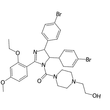 CCOc1cc(OC)ccc1C1=NC(c2ccc(Br)cc2)C(C2C=CC(Br)=CC2)N1C(=O)N1CCN(CCO)CC1